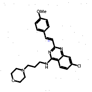 COc1ccc(/C=C/c2nc(NCCCN3CCOCC3)c3ccc(Cl)cc3n2)cc1